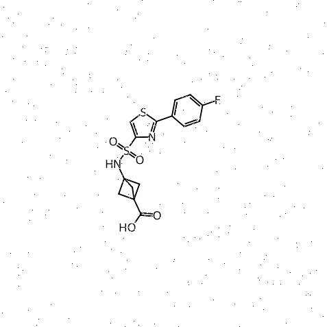 O=C(O)C12CC(NS(=O)(=O)c3csc(-c4ccc(F)cc4)n3)(C1)C2